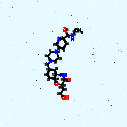 CNC(=O)c1ccc(N2CCN(Cc3ccc4c(c3)NC(=O)[C@@H](CCO)O4)CC2)cn1